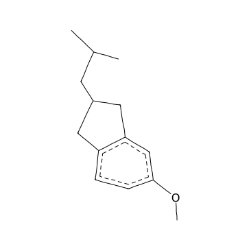 COc1ccc2c(c1)CC(CC(C)C)C2